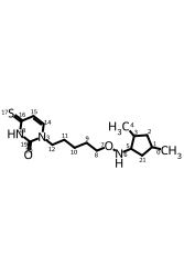 CC1CC(C)C(NOCCCCCn2ccc(=S)[nH]c2=O)C1